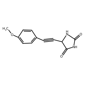 COc1ccc(C#CC2NC(=O)NC2=O)cc1